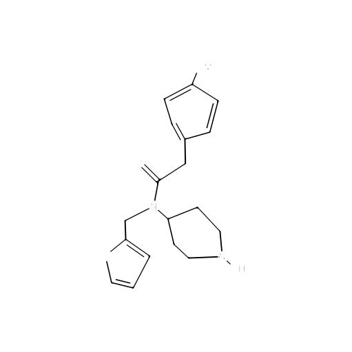 COc1ccc(CC(=O)N(Cc2ccco2)C2CCN(C)CC2)cc1